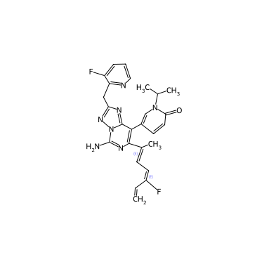 C=C/C(F)=C\C=C(/C)c1nc(N)n2nc(Cc3ncccc3F)nc2c1-c1ccc(=O)n(C(C)C)c1